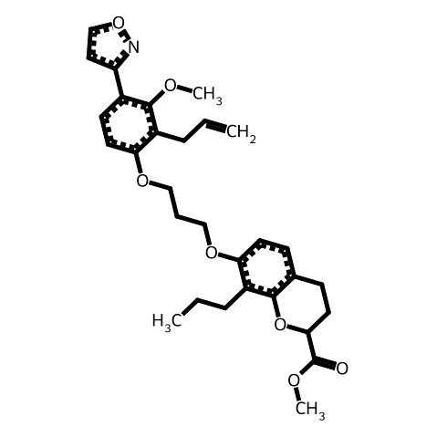 C=CCc1c(OCCCOc2ccc3c(c2CCC)OC(C(=O)OC)CC3)ccc(-c2ccon2)c1OC